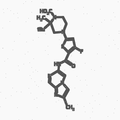 Cc1cn2cc(NC(=O)c3sc(N4CCN(C(=O)O)C(C)(C(C)(C)C)C4)cc3F)ncc2n1